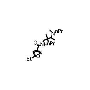 CCCN(C)C(C)C(C)(CCC)CNC(=O)c1cc(CC)on1